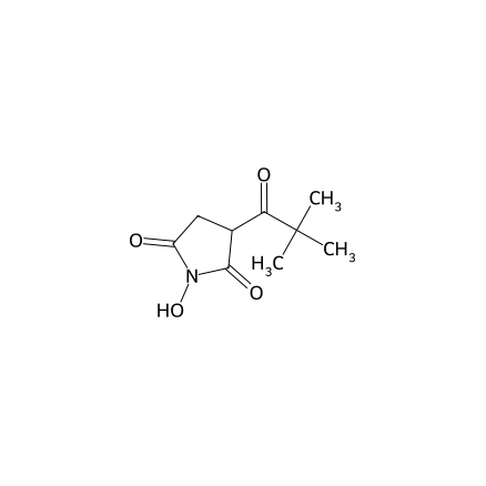 CC(C)(C)C(=O)C1CC(=O)N(O)C1=O